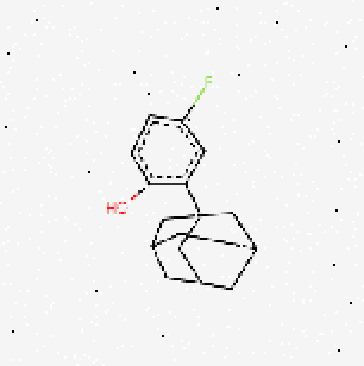 Oc1ccc(F)cc1C12CC3CC(CC(C3)C1)C2